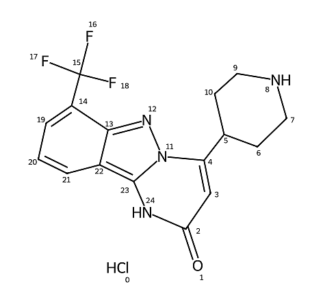 Cl.O=c1cc(C2CCNCC2)n2nc3c(C(F)(F)F)cccc3c2[nH]1